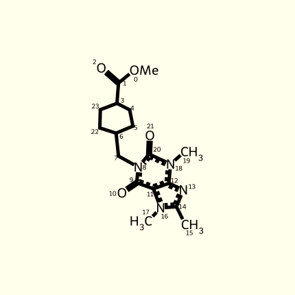 COC(=O)C1CCC(Cn2c(=O)c3c(nc(C)n3C)n(C)c2=O)CC1